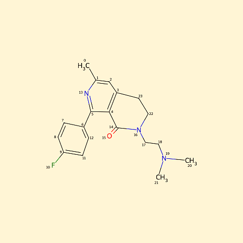 Cc1cc2c(c(-c3ccc(F)cc3)n1)C(=O)N(CCN(C)C)CC2